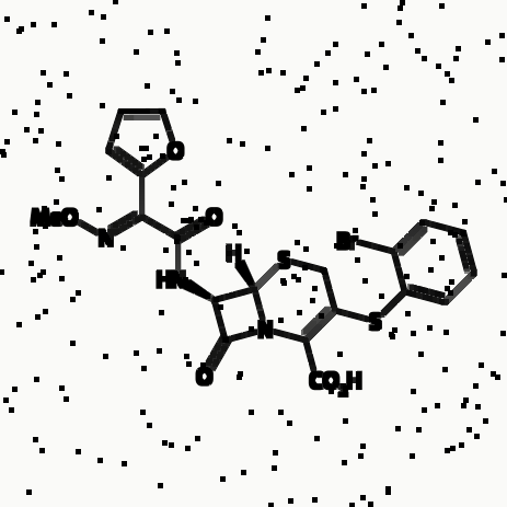 CON=C(C(=O)N[C@@H]1C(=O)N2C(C(=O)O)=C(Sc3ccccc3Br)CS[C@@H]12)c1ccco1